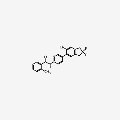 Cc1ccccc1C(=O)Nc1ccc(-c2cc3c(cc2Cl)CC(F)(F)C3)cn1